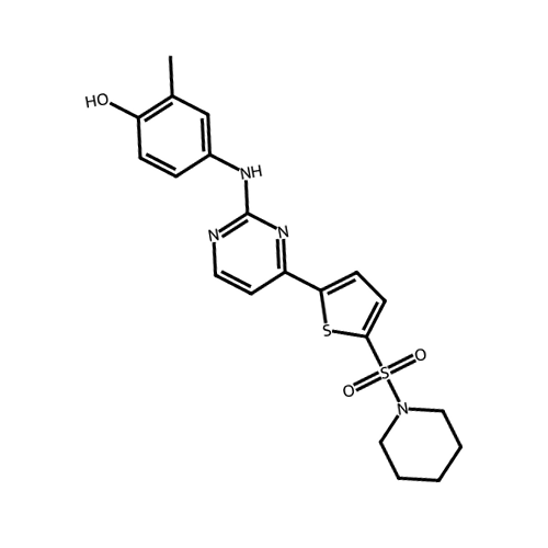 Cc1cc(Nc2nccc(-c3ccc(S(=O)(=O)N4CCCCC4)s3)n2)ccc1O